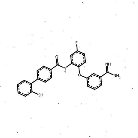 N=C(N)c1cccc(Oc2ccc(F)cc2NC(=O)c2ccc(-c3ccccc3S)cc2)c1